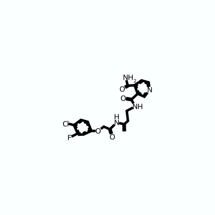 C=C(CCNC(=O)c1cnccc1C(N)=O)NC(=O)COc1ccc(Cl)c(F)c1